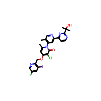 Cc1cnc(-c2ccnc(C(C)(C)O)n2)cc1-n1c(C)cc(OCc2ncc(F)cc2I)c(Cl)c1=O